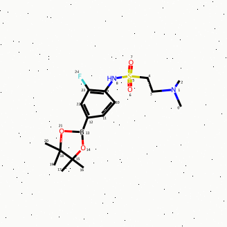 CN(C)CCS(=O)(=O)Nc1ccc(B2OC(C)(C)C(C)(C)O2)cc1F